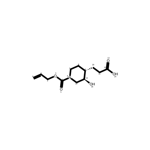 C=CCOC(=O)N1CC[C@H](CCC(=O)O)[C@@H](O)C1